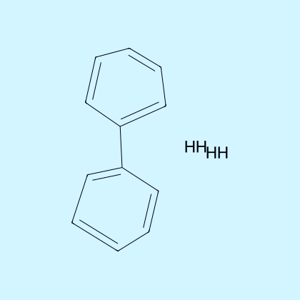 [HH].[HH].c1ccc(-c2ccccc2)cc1